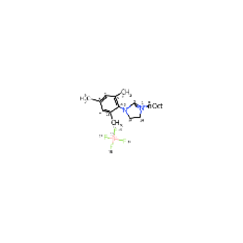 CCCCCCCC[N+]1=CN(c2c(C)cc(C)cc2C)CC1.F[B-](F)(F)F